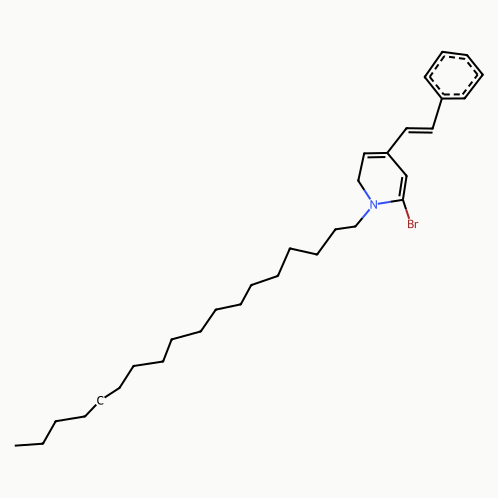 CCCCCCCCCCCCCCCCCCN1CC=C(C=Cc2ccccc2)C=C1Br